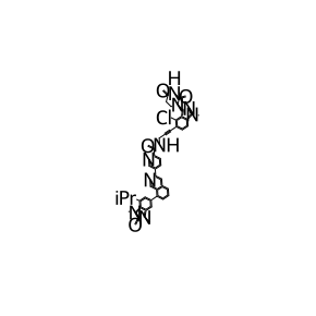 CC(C)c1cc(-c2cccc3cc(-c4ccc(C(=O)NCC#Cc5ccc6c(c(N7CCC(=O)NC7=O)nn6C)c5Cl)nc4)ncc23)cc2c1n(C)c(=O)n2C